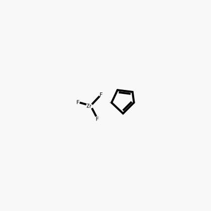 [CH]1C=CC=C1.[F][Zr]([F])[F]